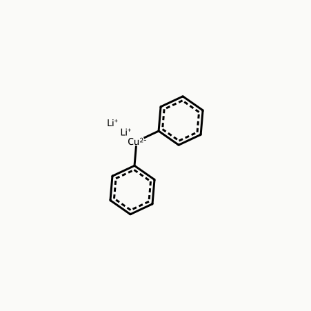 [Li+].[Li+].c1cc[c]([Cu-2][c]2ccccc2)cc1